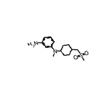 CN(c1cccc(N)c1)C1CCC(CS(C)(=O)=O)CC1